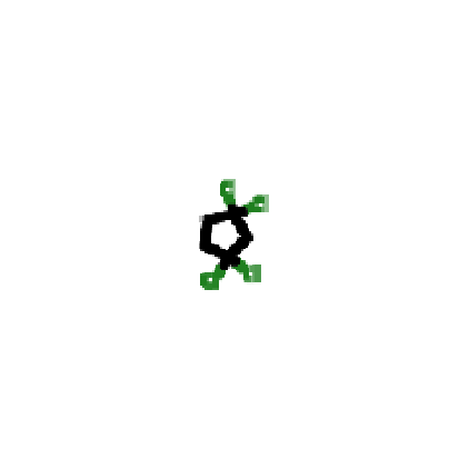 ClC1(Cl)[CH]CC(Cl)(Cl)C1